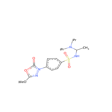 COc1nn(-c2ccc(S(=O)(=O)NC(C)N(C(C)C)C(C)C)cc2)c(=O)o1